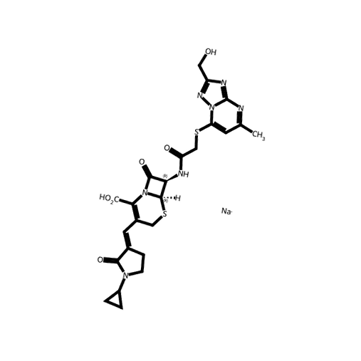 Cc1cc(SCC(=O)N[C@@H]2C(=O)N3C(C(=O)O)=C(C=C4CCN(C5CC5)C4=O)CS[C@H]23)n2nc(CO)nc2n1.[Na]